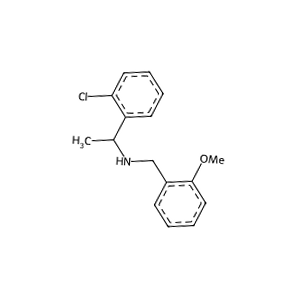 COc1ccccc1CNC(C)c1ccccc1Cl